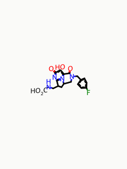 O=C(O)NCC1CC2CN(Cc3ccc(F)cc3)C(=O)c3c(O)c(=O)nc1n32